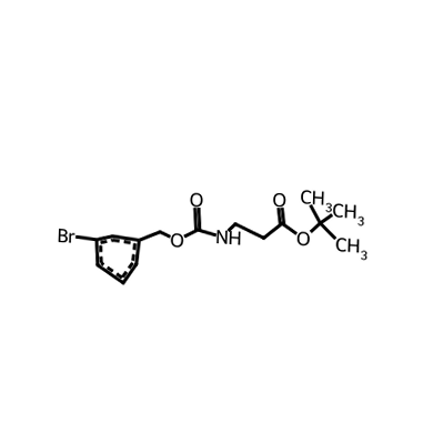 CC(C)(C)OC(=O)CCNC(=O)OCc1cccc(Br)c1